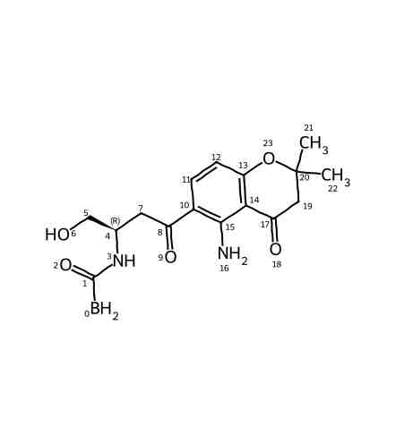 BC(=O)N[C@@H](CO)CC(=O)c1ccc2c(c1N)C(=O)CC(C)(C)O2